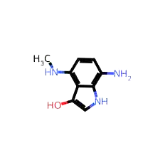 CNc1ccc(N)c2[nH]cc(O)c12